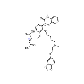 COc1cccc([C@@H]2Sc3ccccc3N(C)C2=O)c1OCCCCN(C)CCOc1ccc2c(c1)OCO2.O=C(O)/C=C/C(=O)O